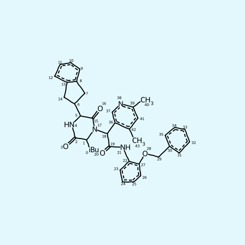 CCC(C)C1C(=O)NC(C2Cc3ccccc3C2)C(=O)N1C(C(=O)Nc1ccccc1OCc1ccccc1)c1cnc(C)cc1C